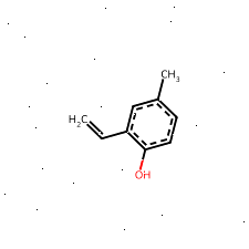 C=Cc1cc(C)ccc1O